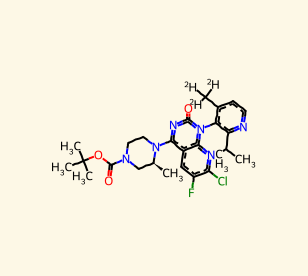 [2H]C([2H])([2H])c1ccnc(C(C)C)c1-n1c(=O)nc(N2CCN(C(=O)OC(C)(C)C)C[C@@H]2C)c2cc(F)c(Cl)nc21